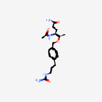 CC(=O)N[C@@H](CCC(N)=O)[C@@H](C)OCc1ccc(CCCNC(N)=O)cc1